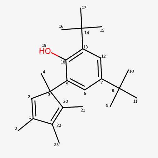 CC1=CC(C)(c2cc(C(C)(C)C)cc(C(C)(C)C)c2O)C(C)=C1C